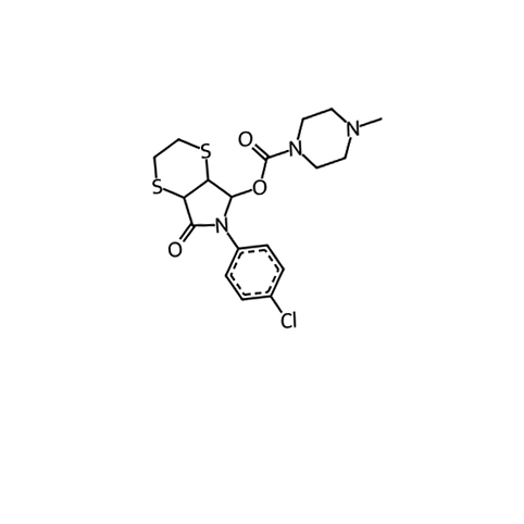 CN1CCN(C(=O)OC2C3SCCSC3C(=O)N2c2ccc(Cl)cc2)CC1